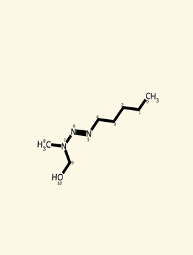 CCCCCN=NN(C)CO